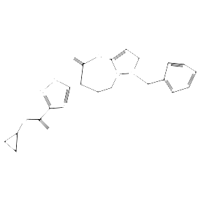 O=C(NC1CC1)c1n[nH]c([C@H]2CCN3C(=CCN3Cc3ccccc3)NC2=O)n1